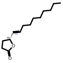 CCCCCCCC/C=C/[C@H]1CCC(=O)O1